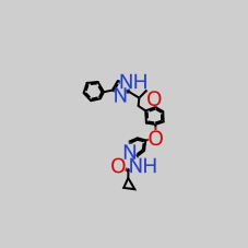 O=C(Nc1cc(Oc2ccc3c(c2)CC(c2nc(-c4ccccc4)c[nH]2)CO3)ccn1)C1CC1